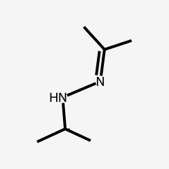 C[C](C)NN=C(C)C